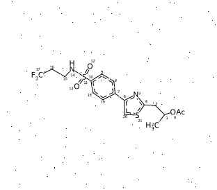 CC(=O)OC(C)Cc1nc(-c2ccc(S(=O)(=O)NCCC(F)(F)F)cc2)cs1